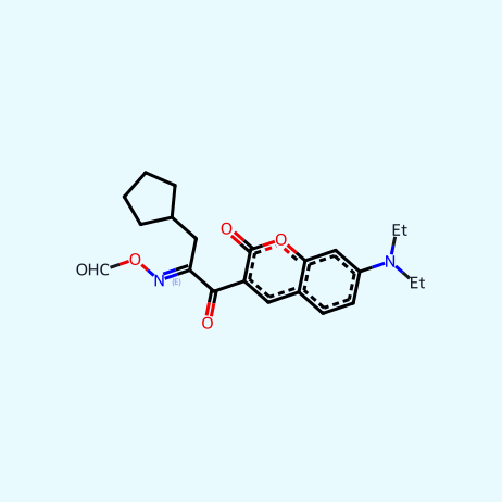 CCN(CC)c1ccc2cc(C(=O)/C(CC3CCCC3)=N/OC=O)c(=O)oc2c1